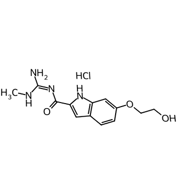 CNC(N)=NC(=O)c1cc2ccc(OCCO)cc2[nH]1.Cl